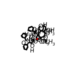 CC(=O)OC1CO[C@@H]2C[C@H](O)[C@@]3(C)C(=O)[C@H](OC(C)=O)C4=C(C)[C@@H](OC(=O)[C@H](O)C(NC(=O)c5ccccc5)c5ccccc5)C[C@@](O)([C@@H](OC(=O)c5ccccc5)C13C2)C4(C)C